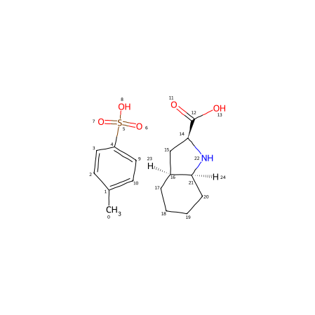 Cc1ccc(S(=O)(=O)O)cc1.O=C(O)[C@@H]1C[C@@H]2CCCC[C@@H]2N1